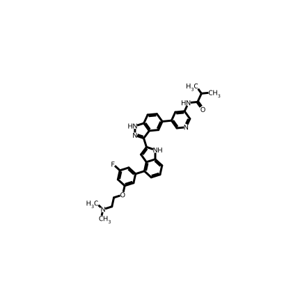 CC(C)C(=O)Nc1cncc(-c2ccc3[nH]nc(-c4cc5c(-c6cc(F)cc(OCCN(C)C)c6)cccc5[nH]4)c3c2)c1